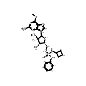 COc1nc(N)nc2c1ncn2C1O[C@H](COP(=O)(NC2CCC2)Oc2ccccc2)[C@@H](O)[C@@]1(C)N